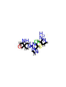 Nc1nccc(Sc2cnc(N3CCC4(CC3)COC[C@H]4N)n3ccnc23)c1Cl